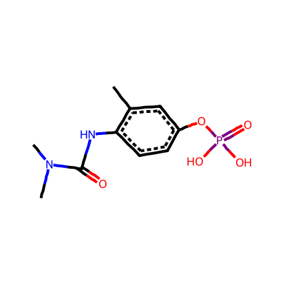 Cc1cc(OP(=O)(O)O)ccc1NC(=O)N(C)C